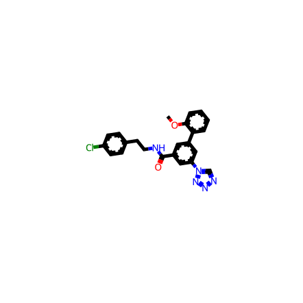 COc1ccccc1-c1cc(C(=O)NCCc2ccc(Cl)cc2)cc(-n2cnnn2)c1